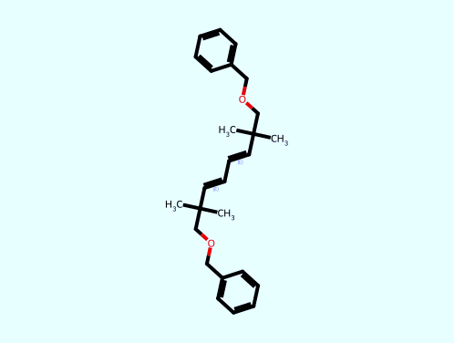 CC(C)(/C=C/C=C/C(C)(C)COCc1ccccc1)COCc1ccccc1